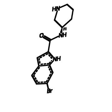 O=C(N[C@@H]1CCCNC1)c1cc2ccc(Br)cc2[nH]1